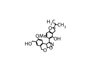 C=C(C)[C@H]1Cc2c(ccc(C3=NOC4OCc5cc(CO)c(OC)cc5C34)c2O)O1